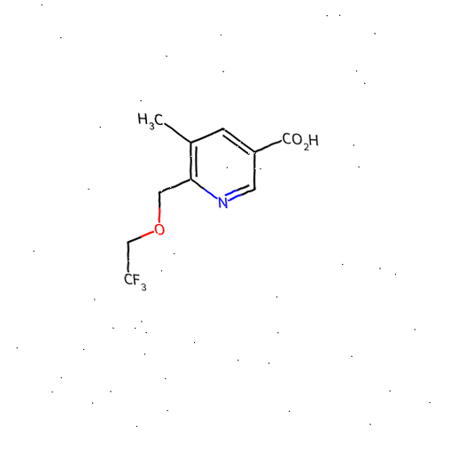 Cc1cc(C(=O)O)cnc1COCC(F)(F)F